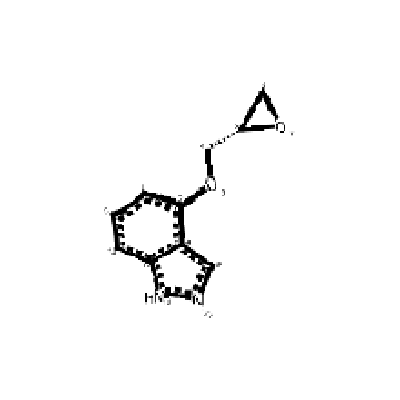 c1cc(OC[C@@H]2CO2)c2cn[nH]c2c1